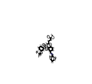 COC(=O)CCC1CN(S(=O)(=O)c2cccc(OC(F)F)c2)c2cc(/C=C/c3ncccn3)ccc2O1